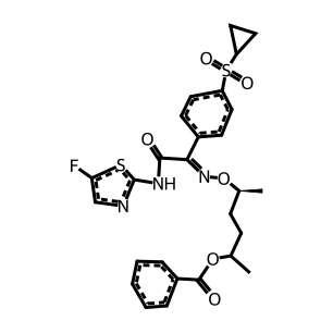 CC(CC[C@H](C)O/N=C(/C(=O)Nc1ncc(F)s1)c1ccc(S(=O)(=O)C2CC2)cc1)OC(=O)c1ccccc1